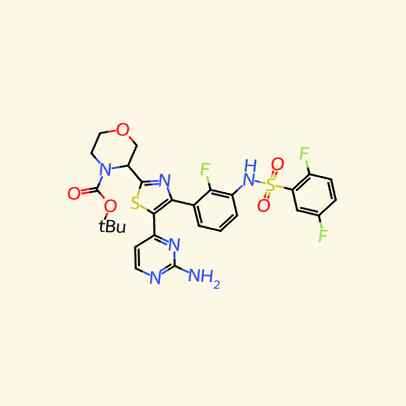 CC(C)(C)OC(=O)N1CCOCC1c1nc(-c2cccc(NS(=O)(=O)c3cc(F)ccc3F)c2F)c(-c2ccnc(N)n2)s1